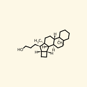 C[C@]12CC[C@H]3[C@@H](CCC4CCCC[C@@]43C)[C@@H]1[C@@H]1CC[C@@H]1[C@H]2CCCO